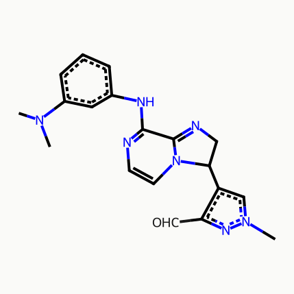 CN(C)c1cccc(NC2=NC=CN3C2=NCC3c2cn(C)nc2C=O)c1